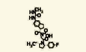 CC[C@H]1CC[C@@H](c2ccc(F)cc2)N1C(=O)CN(C(=O)O)C(=O)[C@H]1CCc2cc(NC(=O)NC)ccc21